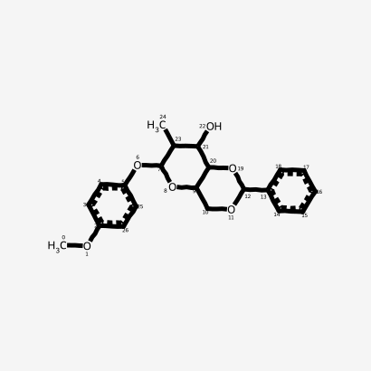 COc1ccc(OC2OC3COC(c4ccccc4)OC3C(O)C2C)cc1